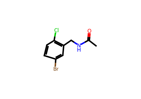 CC(=O)NCc1cc(Br)ccc1Cl